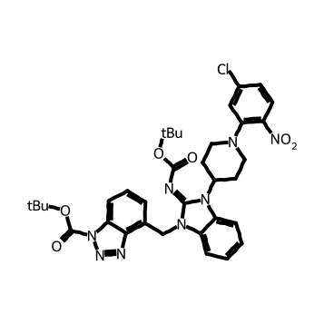 CC(C)(C)OC(=O)N=c1n(Cc2cccc3c2nnn3C(=O)OC(C)(C)C)c2ccccc2n1C1CCN(c2cc(Cl)ccc2[N+](=O)[O-])CC1